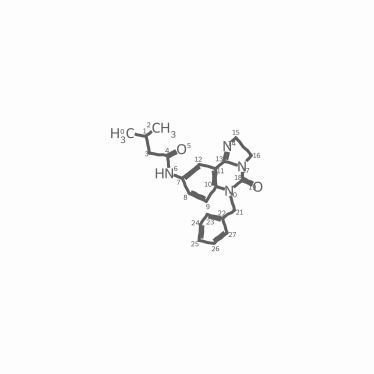 CC(C)CC(=O)Nc1ccc2c(c1)C1=NCCN1C(=O)N2Cc1ccccc1